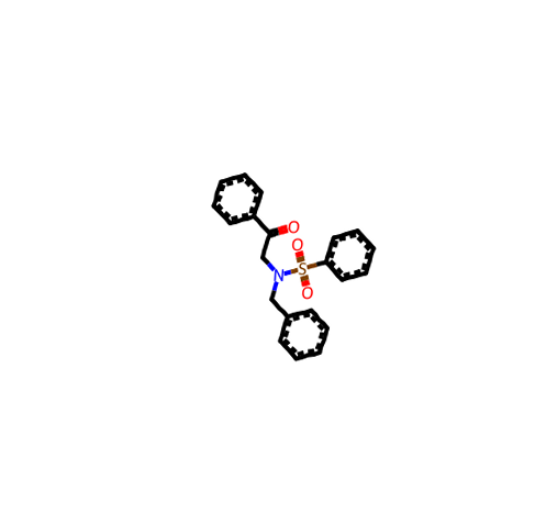 O=C(CN(Cc1ccccc1)S(=O)(=O)c1ccccc1)c1ccccc1